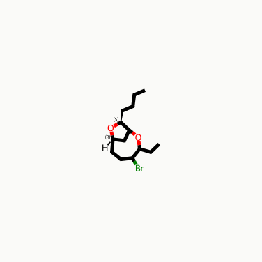 CCCC[C@@H]1O[C@@H]2CCC(Br)C(CC)OC1C2